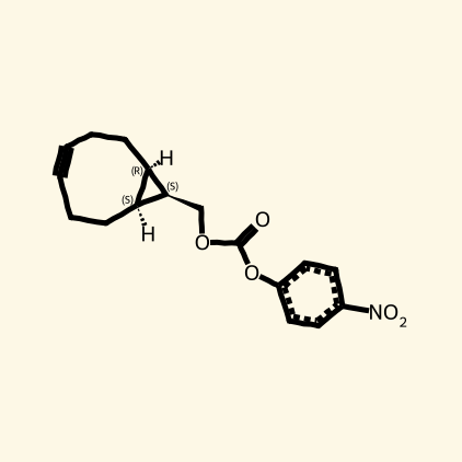 O=C(OC[C@@H]1[C@@H]2CCC#CCC[C@@H]21)Oc1ccc([N+](=O)[O-])cc1